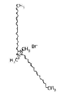 CCCCCCCCCCCCCCCCCCC1CN(CC)C(CCCCCCCCCCCCCCCCC)=[N+]1C.[Br-]